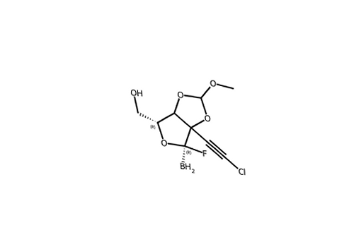 B[C@]1(F)O[C@H](CO)C2OC(OC)OC21C#CCl